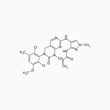 C=CC(=O)Nc1nn(C)cc1Nc1ncc2c(n1)N(C)C(=O)N(c1c(Cl)c(C)cc(OC)c1Cl)C2